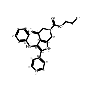 N=C1CN(C(=O)OCCF)Cc2[nH]c(-c3ccncc3)c(Nc3ccccc3)c21